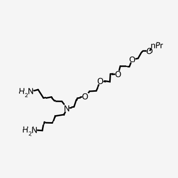 CCCOCCOCCOCCOCCOCCN(CCCCCN)CCCCCN